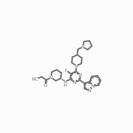 N#CCC(=O)N1CCC[C@@H](Nc2nc(-c3cnn4ccccc34)nc(N3CCC(CN4CCCC4)CC3)c2F)C1